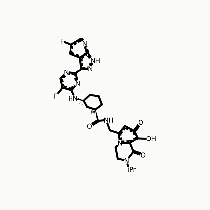 CC(C)N1CCn2c(CNC(=O)[C@@H]3CCC[C@H](Nc4nc(-c5n[nH]c6ncc(F)cc56)ncc4F)C3)cc(=O)c(O)c2C1=O